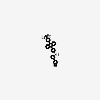 CCC(C)(CC)C1=CC=C(c2c3ccccc3c(C3=CC=C(Nc4cccc(-c5ccc6c(c5)CC6)c4)CC3)c3ccccc23)CC1